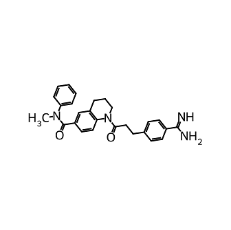 CN(C(=O)c1ccc2c(c1)CCCN2C(=O)CCc1ccc(C(=N)N)cc1)c1ccccc1